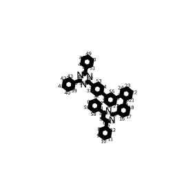 c1ccc(-c2cc(-c3ccccc3)nc(-c3cccc(-c4ccccc4-c4cccc(-c5ccc(-c6nc(-c7ccccc7)nc(-c7ccccc7)n6)cc5)c4)c3)n2)cc1